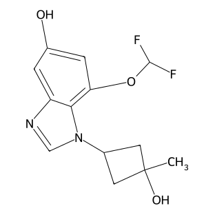 CC1(O)CC(n2cnc3cc(O)cc(OC(F)F)c32)C1